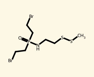 CSSCCNP(=O)(CCBr)CCBr